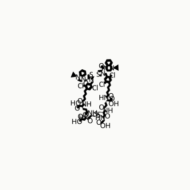 O=C(O)CNC(=O)[C@H](CSSC[C@H](NC(=O)CC[C@H](NC(=O)CCCCc1cc(Cl)c(CN2CSC[C@H]2C(=O)N2CCN(C3CC3)c3ccccc32)cc1Cl)C(=O)O)C(=O)NCC(=O)O)NC(=O)CC[C@H](NC(=O)CCCCc1cc(Cl)c(CN2CSC[C@H]2C(=O)N2CCN(C3CC3)c3ccccc32)cc1Cl)C(=O)O